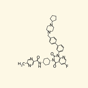 Cc1cnc(C(=O)N[C@H]2CC[C@@H](n3c(=O)c4cc(F)cnc4n(-c4cccc(-c5ccc(CN6CCN(C7CCCC7)CC6)cc5)c4)c3=O)CC2)cn1